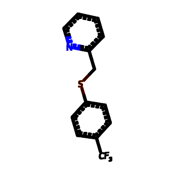 FC(F)(F)c1ccc(SCc2ccccn2)cc1